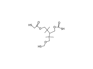 CC(C)(COCS)C(COC(=O)S)C(C)(C)COC(=O)CS